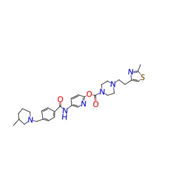 Cc1nc(CCN2CCN(C(=O)Oc3ccc(NC(=O)c4ccc(CN5CCCC(C)C5)cc4)cn3)CC2)cs1